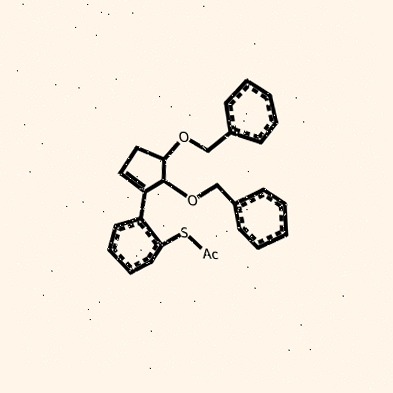 CC(=O)Sc1ccccc1C1=CCC(OCc2ccccc2)C1OCc1ccccc1